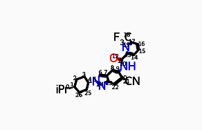 CC(C)[C@H]1CC[C@H](n2cc3cc(NC(=O)c4cccc(C(F)(F)F)n4)c(C#N)cc3n2)CC1